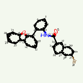 O=C(Nc1ccccc1-c1cccc2c1oc1ccccc12)c1ccc2cc(Br)ccc2c1